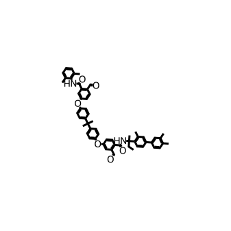 CCC(C)(NC(=O)c1ccc(Oc2ccc(C(C)(C)c3ccc(Oc4ccc(C=O)c(C(=O)Nc5c(C)cccc5C)c4)cc3)cc2)cc1C=O)c1ccc(-c2ccc(C)c(C)c2)cc1C